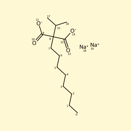 CCCCCCCCC(C(=O)[O-])(C(=O)[O-])C(C)C.[Na+].[Na+]